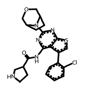 O=C(Nc1nc(N2C3CCC2COC3)nc2scc(-c3ccccc3Cl)c12)C1CCNC1